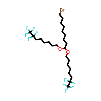 FC(F)(F)C(F)(F)CCCCCCOC(CCCCCCCCBr)OCCCCCCC(F)(F)C(F)(F)F